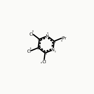 CC(C)c1nc(Cl)c(Cl)c(Cl)n1